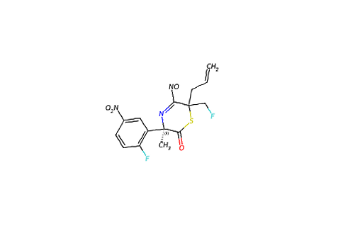 C=CCC1(CF)SC(=O)[C@@](C)(c2cc([N+](=O)[O-])ccc2F)N=C1N=O